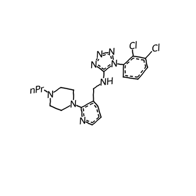 CCCN1CCN(c2ncccc2CNc2nnnn2-c2cccc(Cl)c2Cl)CC1